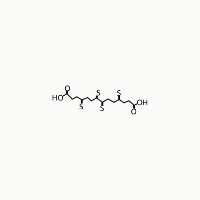 O=C(O)CCC(=S)CCC(=S)C(=S)CCC(=S)CCC(=O)O